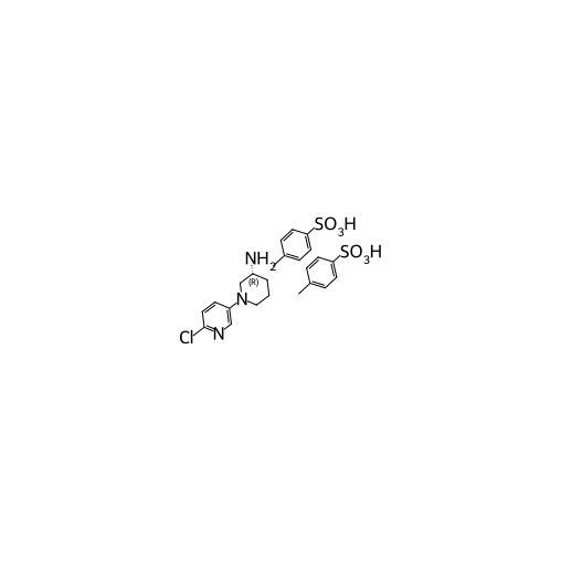 Cc1ccc(S(=O)(=O)O)cc1.Cc1ccc(S(=O)(=O)O)cc1.N[C@@H]1CCCN(c2ccc(Cl)nc2)C1